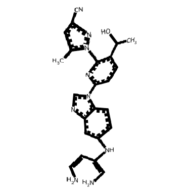 Cc1cc(C#N)nn1-c1nc(-n2cnc3cc(NC(/C=C\N)=C/N)ccc32)ccc1C(C)O